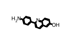 Nc1ccc(-c2ccc3cc(O)ccc3n2)cc1